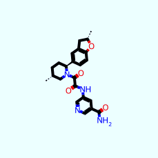 C[C@@H]1CC[C@@H](c2ccc3c(c2)C[C@H](C)O3)N(C(=O)C(=O)Nc2cncc(C(N)=O)c2)C1